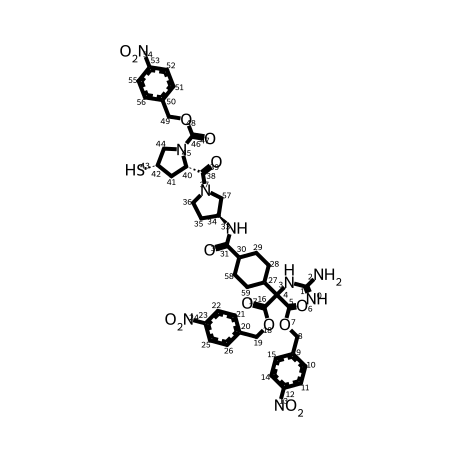 N=C(N)NC(C(=O)OCc1ccc([N+](=O)[O-])cc1)(C(=O)OCc1ccc([N+](=O)[O-])cc1)C1CCC(C(=O)N[C@H]2CCN(C(=O)[C@@H]3C[C@H](S)CN3C(=O)OCc3ccc([N+](=O)[O-])cc3)C2)CC1